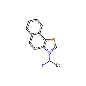 CCC(I)[n+]1csc2c3ccccc3ccc21